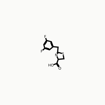 O=C(O)C1CSC(Cc2cc(F)cc(F)c2)=N1